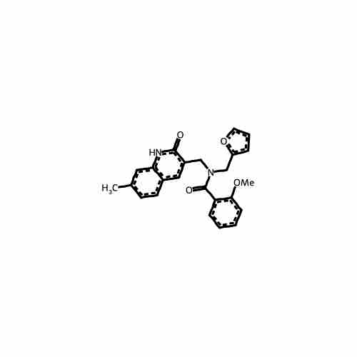 COc1ccccc1C(=O)N(Cc1ccco1)Cc1cc2ccc(C)cc2[nH]c1=O